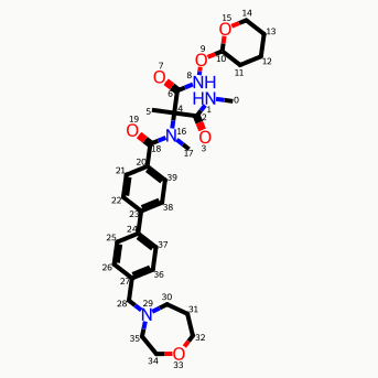 CNC(=O)C(C)(C(=O)NOC1CCCCO1)N(C)C(=O)c1ccc(-c2ccc(CN3CCCOCC3)cc2)cc1